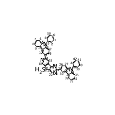 c1ccc(-n2c3ccccc3c3cc(-c4cc5c(cn4)[SiH2]c4cnc(-c6ccc7c(c6)c6ccccc6n7-c6ccccc6)nc4-5)ccc32)cc1